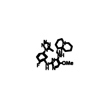 COc1cnc(Nc2cc(-n3nnnc3C)ccc2F)nc1NC[C@@H]1CCCN2CCCC[C@H]12